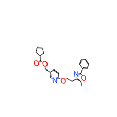 Cc1oc(-c2ccccc2)nc1CCOc1ccc(COC(=O)C2CCCC2)cn1